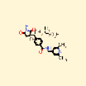 CS(=O)(=O)O.Cc1cc(CNC(=O)c2ccc([C@@H](C)[C@]3(C)CC(=O)NC3=O)cc2)cc(C)n1